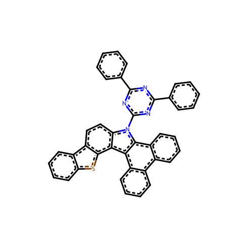 c1ccc(-c2nc(-c3ccccc3)nc(-n3c4ccc5c6ccccc6sc5c4c4c5ccccc5c5ccccc5c43)n2)cc1